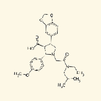 CCN(CC(C)C)C(=O)CN1CC(c2ccc3c(c2)OCO3)[C@H](C(=O)O)[C@H]1c1ccc(OC)cc1